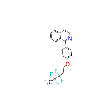 FC(F)(F)C(F)(F)C(F)(F)CCOc1ccc(-c2nccc3ccccc23)cc1